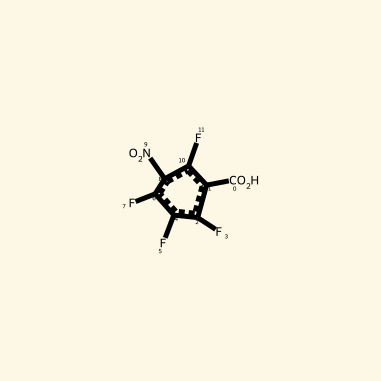 O=C(O)c1c(F)c(F)c(F)c([N+](=O)[O-])c1F